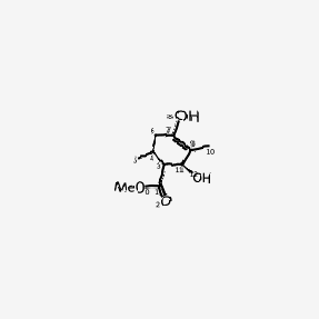 COC(=O)C1C(C)CC(O)=C(C)C1O